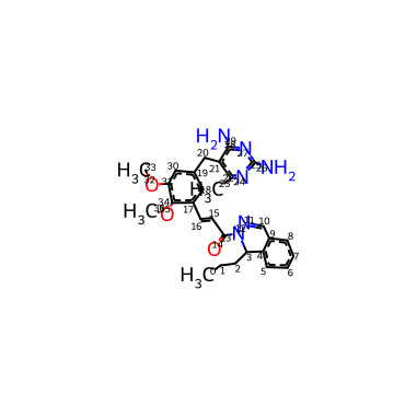 CCCC1c2ccccc2C=NN1C(=O)C=Cc1cc(Cc2c(C)nc(N)nc2N)cc(OC)c1OC